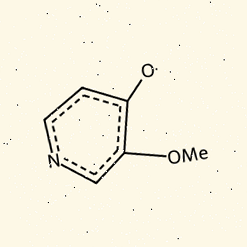 COc1cnccc1[O]